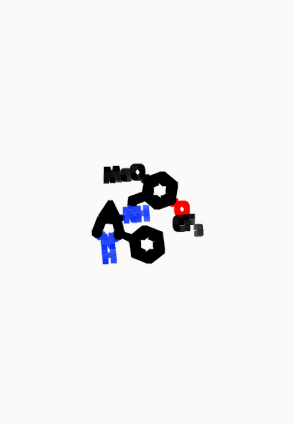 COc1ccc(OC(F)(F)F)cc1CN[C@@]12CC1CN[C@@H]2c1ccccc1